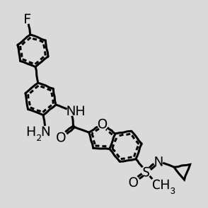 CS(=O)(=NC1CC1)c1ccc2oc(C(=O)Nc3cc(-c4ccc(F)cc4)ccc3N)cc2c1